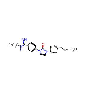 CCOC(=O)CCc1ccc(-n2ccn(-c3ccc(C(=N)NC(=O)OCC)cc3)c2=O)cc1